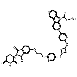 CC(C)(C)OC(=O)n1c2ccncc2c2ccc(-c3ccc(OC4CC(Oc5ccc(CCCOc6ccc7c(c6)C(=O)N([C@@H]6CCC(=O)NC6=O)C7=O)nc5)C4)nc3)cc21